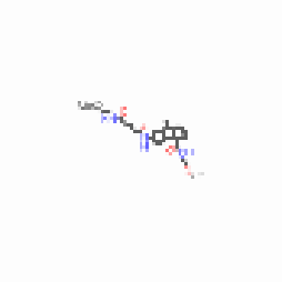 C=C1c2cc(NC(=O)CCCC(=O)NCCOC)ccc2-c2c1cccc2C(=O)NCCOC(C)C